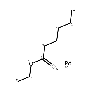 CCCCCC(=O)OCC.[Pd]